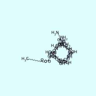 CCCCCCCCCCCCC(=O)Cc1ccc(C(=O)CCC(=O)NC(CC(=O)O)C(=O)CC2C(=O)N3CCCCC3C(=O)NC(C(C)C(=O)O)C(=O)CC(CC(=O)O)C(=O)NCC(=O)NC(CC(=O)O)C(=O)NCC(=O)NC(C(C)NC(=O)CNC(=O)C(N)CCCCN)C(=O)NC(C(C)C)C(=O)N3CCCC3C(=O)NC2C)cc1